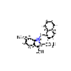 Cc1c(C(=O)O)n(Cc2cccc3ccccc23)c2cc(C#N)ccc12